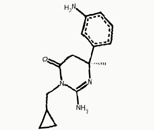 C[C@@]1(c2cccc(N)c2)CC(=O)N(CC2CC2)C(N)=N1